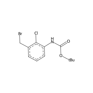 CC(C)(C)OC(=O)Nc1cccc(CBr)c1Cl